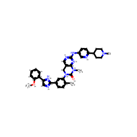 CCN1CCC(c2ccc(Nc3ncc4c(n3)N(C)C(=O)N(c3cc(-c5ncc(-c6ccccc6OC(F)(F)F)[nH]5)ccc3C)C4)cn2)CC1